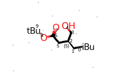 CCC(C)C[C@H](CO)CC(=O)OC(C)(C)C